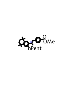 CCCCCc1cc2c(cc1/C(C)=C/c1ccc(C(=O)OC)cc1)C(C)(C)CCC2(C)C